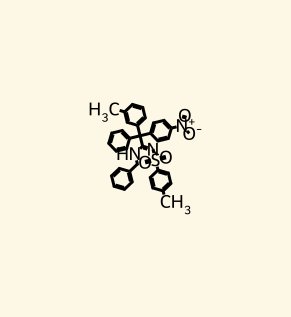 Cc1ccc(S(=O)(=O)N=C(NCc2ccccc2)C(c2ccccc2)(c2ccc([N+](=O)[O-])cc2)c2cccc(C)c2)cc1